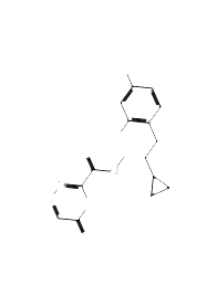 O=C(NC[C@H](Cc1ccc(F)cc1F)C1CC1)c1nncc(=O)[nH]1